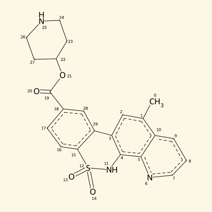 Cc1cc2c(c3ncccc13)NS(=O)(=O)c1ccc(C(=O)OC3CCNCC3)cc1-2